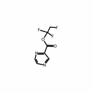 O=C(OC(F)(F)CF)c1cnccn1